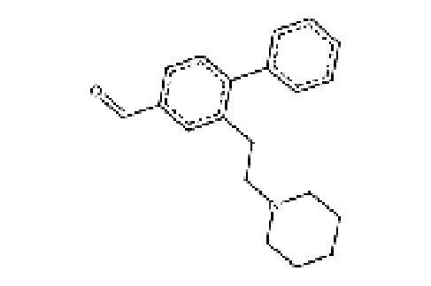 O=Cc1ccc(-c2ccccc2)c(CCN2CCCCC2)c1